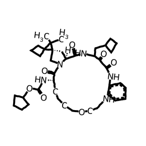 CC1(C)C2(CCC2)[C@@]12C[C@H]1C(=O)NC(CC3CCC3)C(=O)C(=O)Nc3ccccc3NCCOCCCC[C@H](NC(=O)OC3CCCC3)C(=O)N1C2